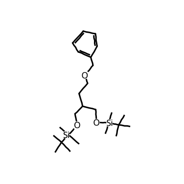 CC(C)(C)[Si](C)(C)OCC(CCOCc1ccccc1)CO[Si](C)(C)C(C)(C)C